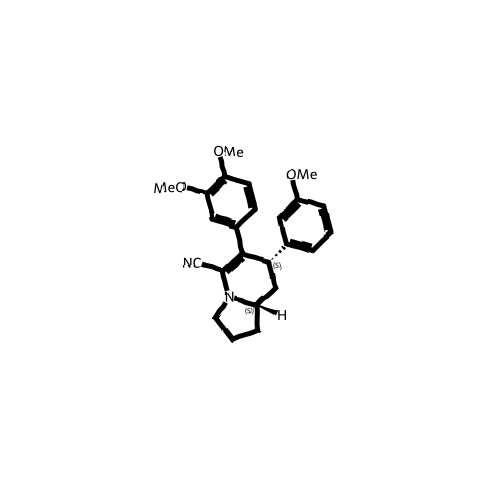 COc1cccc([C@@H]2C[C@@H]3CCCN3C(C#N)=C2c2ccc(OC)c(OC)c2)c1